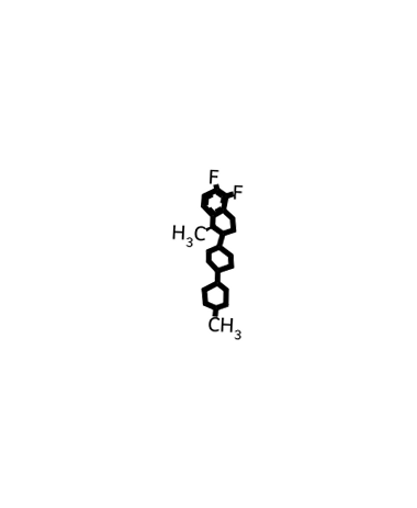 CC1CCC(C2CCC(C3CCc4c(ccc(F)c4F)[C@@H]3C)CC2)CC1